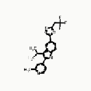 Cc1cc(-c2[nH]c3ccc(-c4nnc(CC(F)(F)F)o4)cc3c2C(C)C)ccn1